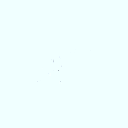 CC[C@H](C)[C@H](NC(=O)OCc1cccc2c1Cc1ccccc1-2)C(=O)N1C[C@H](F)C[C@H]1C#N